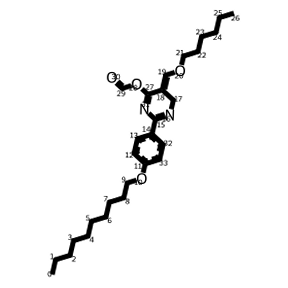 CCCCCCCCCCOc1ccc(C2=NCC(=COCCCCCC)C(OC=O)=N2)cc1